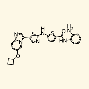 Nc1ccccc1NC(=O)c1ccc(Nc2ncc(-c3cnc4ccc(OC5CCC5)cn34)s2)s1